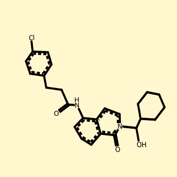 O=C(CCc1ccc(Cl)cc1)Nc1cccc2c(=O)n(C(O)C3CCCCC3)ccc12